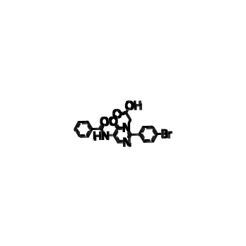 O=C(O)Cn1c(-c2ccc(Br)cc2)ncc(NC(=O)c2ccccc2)c1=O